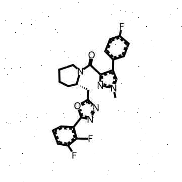 Cn1cc(-c2ccc(F)cc2)c(C(=O)N2CCCC[C@H]2Cc2nnc(-c3cccc(F)c3F)o2)n1